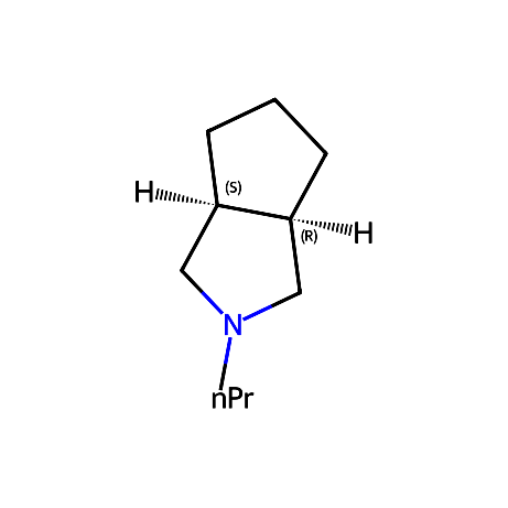 CCCN1C[C@H]2CCC[C@H]2C1